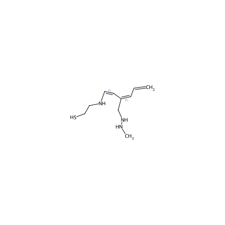 C=C/C=C(\C=C/NCCS)CNNC